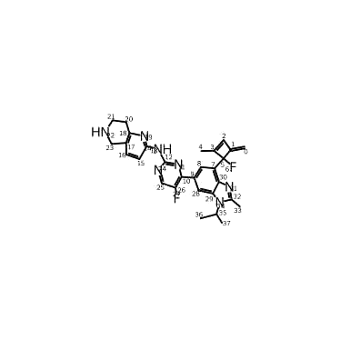 C=C1C=C(C)C1(F)c1cc(-c2nc(Nc3ccc4c(n3)CCNC4)ncc2F)cc2c1nc(C)n2C(C)C